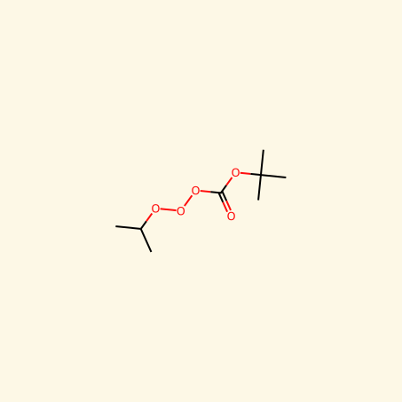 CC(C)OOOC(=O)OC(C)(C)C